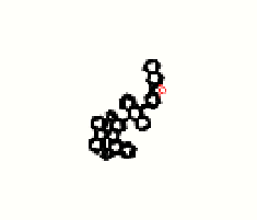 c1ccc2c(c1)-c1ccccc1C21c2c(cc(-c3c4ccccc4c(-c4ccc5oc6cc7ccccc7cc6c5c4)c4ccccc34)c3ccccc23)-c2c1c1ccccc1c1ccccc21